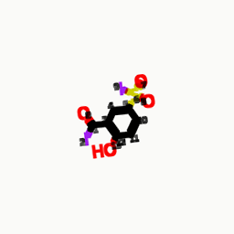 O=C(I)c1cc(S(=O)(=O)I)ccc1O